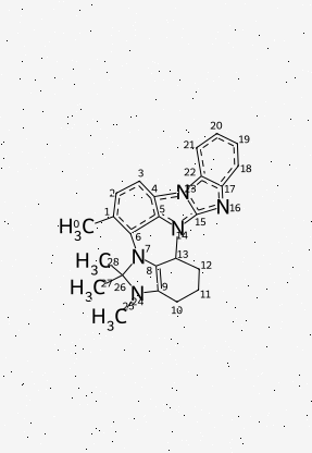 Cc1ccc2c3c1N1C4=C(CCCC4n3c3nc4ccccc4n23)N(C)C1(C)C